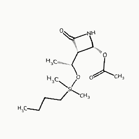 CCCC[Si](C)(C)O[C@H](C)[C@@H]1C(=O)N[C@@H]1OC(C)=O